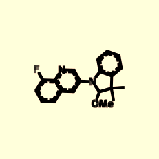 COC1N(c2cnc3c(F)cccc3c2)c2ccccc2C1(C)C